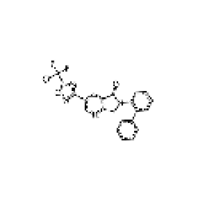 O=C1c2cc(-c3noc(C(F)(F)Cl)n3)cnc2CN1c1ccccc1-c1ccccc1